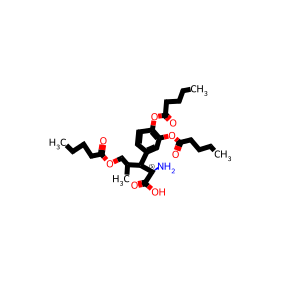 CCCCC(=O)OCC(C)C(c1ccc(OC(=O)CCCC)c(OC(=O)CCCC)c1)[C@H](N)C(=O)O